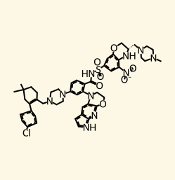 CN1CCN(C[C@H]2COc3cc(S(=O)(=O)NC(=O)c4ccc(N5CCN(CC6=C(c7ccc(Cl)cc7)CC(C)(C)CC6)CC5)cc4N4CCOc5nc6[nH]ccc6cc54)cc([N+](=O)[O-])c3N2)CC1